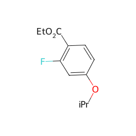 CCOC(=O)c1ccc(OC(C)C)cc1F